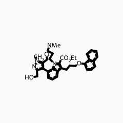 CCOC(=O)c1c(CCCOc2cccc3ccccc23)c2cccc(-c3c(CO)nn(C)c3CCl)c2n1CCCNC